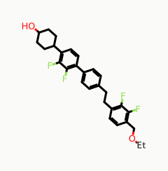 CCOCc1ccc(CCc2ccc(-c3ccc(C4CCC(O)CC4)c(F)c3F)cc2)c(F)c1F